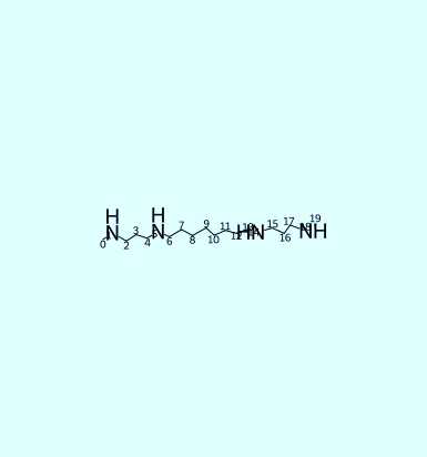 CNCCCNCCCCCCCCNCCCNC